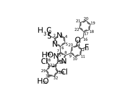 CSc1nccc(-c2c(-c3ccc(F)c(OCc4ccccc4)c3)nc(-c3c(Cl)cc(O)cc3Cl)n2O)n1